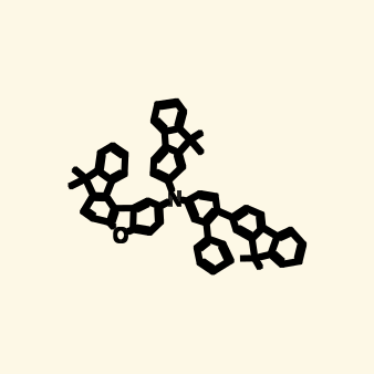 CC1(C)c2ccccc2-c2ccc(-c3ccc(N(c4ccc5c(c4)C(C)(C)c4ccccc4-5)c4ccc5oc6ccc7c(c6c5c4)-c4ccccc4C7(C)C)cc3-c3ccccc3)cc21